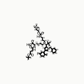 CC(C)(C)OC(=O)CCC(=O)N[C@@H](CSCCN(CCCNC(=O)OCC[Si](C)(C)C)[C@@H](c1cc(-c2cc(F)ccc2F)cn1Cc1ccccc1)C(C)(C)C)C(=O)O